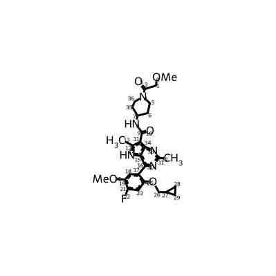 COCC(=O)N1CCC(NC(=O)c2c(C)[nH]c3c(-c4cc(OC)c(F)cc4OCC4CC4)nc(C)nc23)CC1